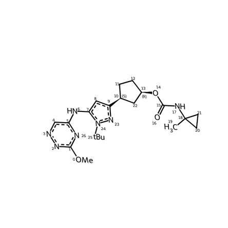 COc1nncc(Nc2cc([C@H]3CC[C@@H](OC(=O)NC4(C)CC4)C3)nn2C(C)(C)C)n1